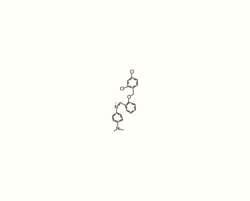 CN(C)c1ccc(/N=C\c2ccccc2OCc2ccc(Cl)cc2Cl)cc1